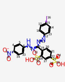 O=[N+]([O-])c1ccc(N/N=C(\N=N\c2ccc(I)cc2)c2ccc(S(=O)(=O)O)cc2S(=O)(=O)O)cc1